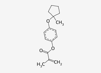 C=C(C)C(=O)Oc1ccc(OC2(C)CCCC2)cc1